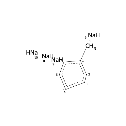 Cc1cc[c]cc1.[NaH].[NaH].[NaH].[NaH]